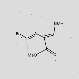 CN/C=C(\N=C(/C)Br)C(=O)OC